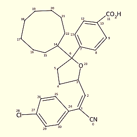 N#C/C(=C/C1CCC(c2ccc(C(=O)O)cc2)(C2CCCCCCCC2)O1)c1ccc(Cl)cc1